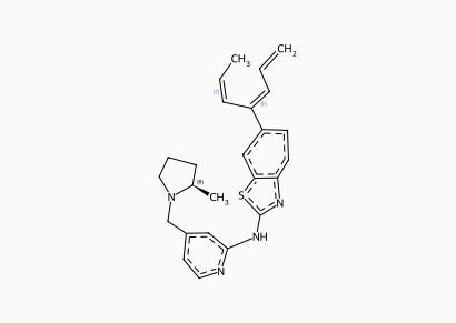 C=C/C=C(\C=C/C)c1ccc2nc(Nc3cc(CN4CCC[C@H]4C)ccn3)sc2c1